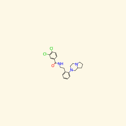 O=C(NCCc1ccccc1N1CCN2CCCC2C1)c1ccc(Cl)c(Cl)c1